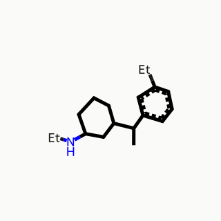 CCNC1CCCC(C(C)c2cccc(CC)c2)C1